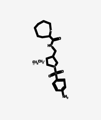 Nc1ccc(S(=O)(=O)N2CCC(CNC(=O)[C]3CCCCCCC3)C2)cc1.[CH2].[CH2]